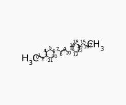 CC=C[C@H]1CC[C@H](CC=CC[C@H]2CC[C@H](CCC)CC2)CC1